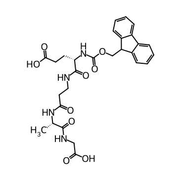 C[C@H](NC(=O)CCNC(=O)[C@H](CCC(=O)O)NC(=O)OCC1c2ccccc2-c2ccccc21)C(=O)NCC(=O)O